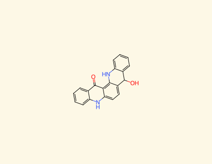 O=c1c2ccccc2[nH]c2ccc3c(c12)Nc1ccccc1C3O